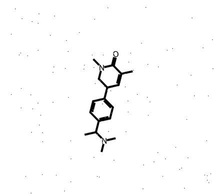 CC1=CC(c2ccc(C(C)N(C)C)cc2)CN(C)C1=O